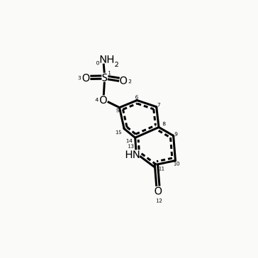 NS(=O)(=O)Oc1ccc2ccc(=O)[nH]c2c1